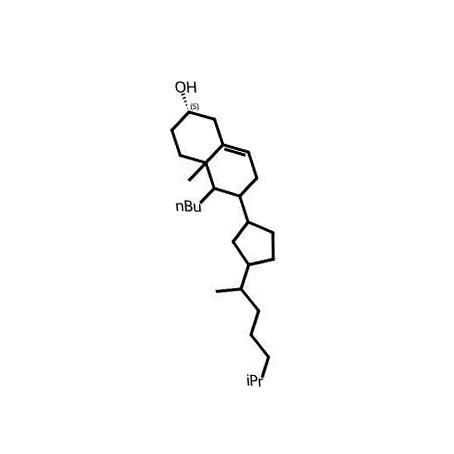 CCCCC1C(C2CCC(C(C)CCCC(C)C)C2)CC=C2C[C@@H](O)CCC21C